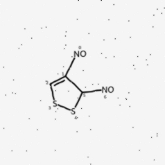 O=NC1=CSSC1N=O